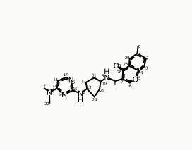 Cc1ccc2occ(CNC3CCC(Nc4nccc(N(C)C)n4)CC3)c(=O)c2c1